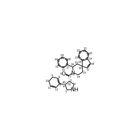 O=C([C@@H]1CNC[C@H]1C1=CCCC=C1)N1CCC2(C=Cc3ccccc32)CC1c1ccccc1